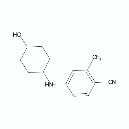 N#Cc1ccc(NC2CCC(O)CC2)cc1C(F)(F)F